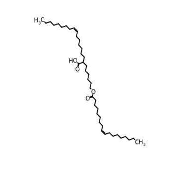 CCCCCCCC/C=C\CCCCCCCC(=O)OCCCCCCC(CCCCCC/C=C\CCCCCCCC)C(=O)O